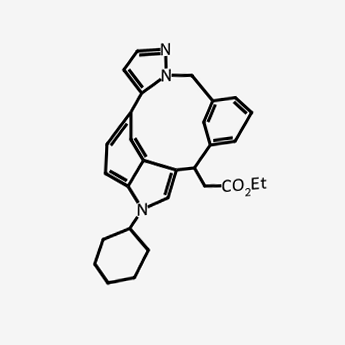 CCOC(=O)CC1c2cccc(c2)Cn2nccc2-c2ccc3c(c2)c1cn3C1CCCCC1